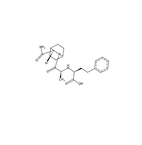 C[C@H](N[C@@H](CCc1ccccc1)C(=O)O)C(=O)N1C2CCC(CC2)[C@H]1C(N)=O